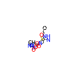 Cc1ncc([N+](=O)[O-])n1CCOC(=O)N1CCc2c(sc(NC(=O)/C=C/c3ccccc3)c2C#N)C1